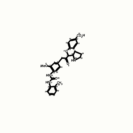 COc1cc(CC(=O)C(Oc2ccc(C(=O)O)cc2)C2CCCN2)ccc1NC(=O)Nc1ccccc1C